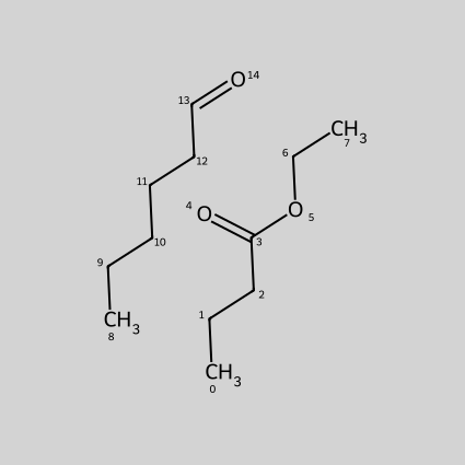 CCCC(=O)OCC.CCCCCC=O